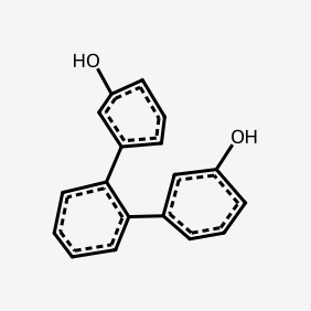 Oc1cccc(-c2ccccc2-c2cccc(O)c2)c1